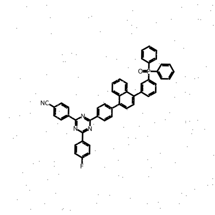 N#Cc1ccc(-c2nc(-c3ccc(F)cc3)nc(-c3ccc(-c4ccc(-c5cccc(P(=O)(c6ccccc6)c6ccccc6)c5)c5ccccc45)cc3)n2)cc1